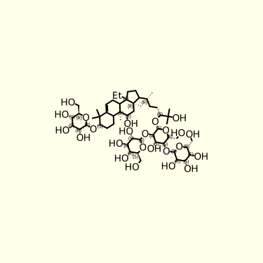 CC[C@@]12CCC([C@H](C)CC[C@@H](O[C@@H]3O[C@H](CO)[C@@H](O[C@H]4O[C@H](CO)[C@@H](O)[C@H](O)[C@H]4O)[C@H](O)[C@H]3O[C@H]3O[C@@H](CO)[C@H](O)[C@@H](O)[C@@H]3O)C(C)(C)O)[C@@]1(C)C[C@@H](O)[C@@]1(C)C3CC[C@H](O[C@@H]4O[C@H](CO)[C@@H](O)[C@H](O)[C@H]4O)C(C)(C)C3=CCC12